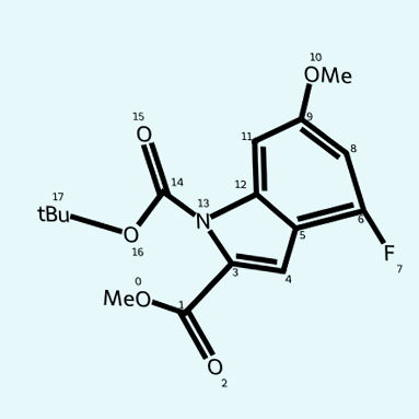 COC(=O)c1cc2c(F)cc(OC)cc2n1C(=O)OC(C)(C)C